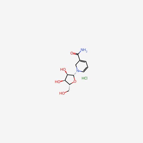 Cl.NC(=O)C1=CC=CN([C@@H]2O[C@H](CO)[C@@H](O)[C@H]2O)C1